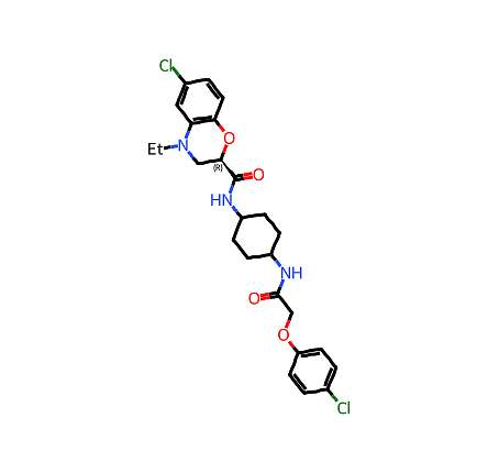 CCN1C[C@H](C(=O)NC2CCC(NC(=O)COc3ccc(Cl)cc3)CC2)Oc2ccc(Cl)cc21